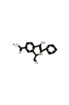 CC(=O)c1ccc2c(c1)C(C=O)NC(c1ccccc1)=C2O